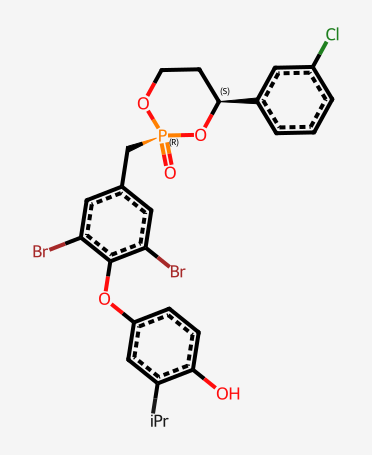 CC(C)c1cc(Oc2c(Br)cc(C[P@@]3(=O)OCC[C@@H](c4cccc(Cl)c4)O3)cc2Br)ccc1O